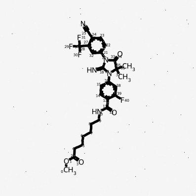 COC(=O)CCCCCCNC(=O)c1ccc(N2C(=N)N(c3ccc(C#N)c(C(F)(F)F)c3)C(=O)C2(C)C)cc1F